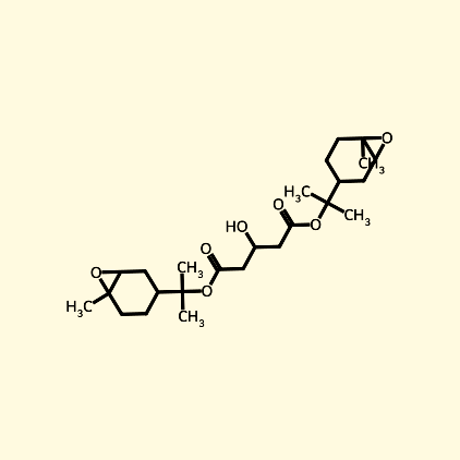 CC(C)(OC(=O)CC(O)CC(=O)OC(C)(C)C1CCC2(C)OC2C1)C1CCC2(C)OC2C1